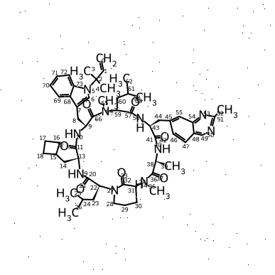 C=CC(C)(C)n1cc(C[C@@H]2NC(=O)[C@H](CC3CCC3)NC(=O)[C@H](CC(C)C)N3CCC[C@@H](C3=O)N(C)C(=O)[C@H](C)NC(=O)[C@H](Cc3ccc4cnc(C)nc4c3)NC(=O)[C@H](CC(C)C)N(C)C2=O)c2ccccc21